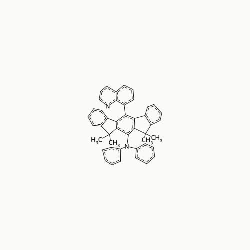 CC1(C)c2ccccc2-c2c(-c3cccc4cccnc34)c3c(c(N(c4ccccc4)c4ccccc4)c21)C(C)(C)c1ccccc1-3